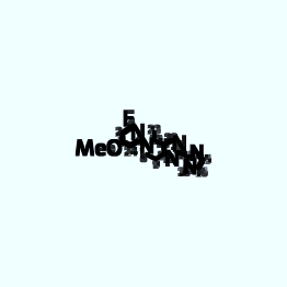 COc1cc(F)nc(N2CCc3nc(-c4nccn4C)ncc3C2C)c1